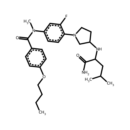 CCCCOc1ccc(C(=O)N(C)c2ccc(N3CCC(NC(CC(C)C)C(N)=O)C3)c(F)c2)cc1